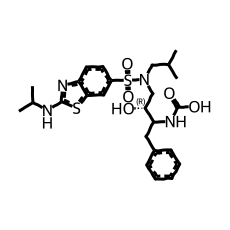 CC(C)CN(C[C@@H](O)C(Cc1ccccc1)NC(=O)O)S(=O)(=O)c1ccc2nc(NC(C)C)sc2c1